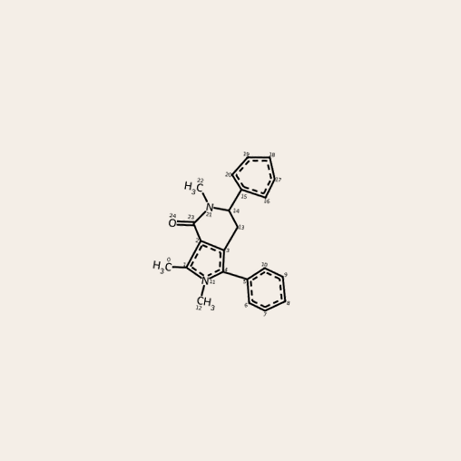 Cc1c2c(c(-c3ccccc3)n1C)CC(c1ccccc1)N(C)C2=O